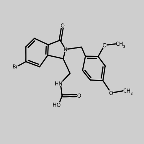 COc1ccc(CN2C(=O)c3ccc(Br)cc3C2CNC(=O)O)c(OC)c1